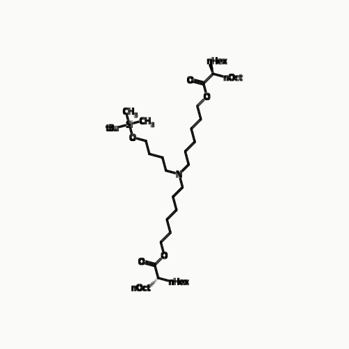 CCCCCCCC[C@@H](CCCCCC)C(=O)OCCCCCCN(CCCCCCOC(=O)[C@@H](CCCCCC)CCCCCCCC)CCCCO[Si](C)(C)C(C)(C)C